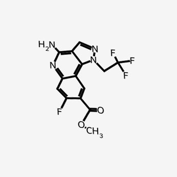 COC(=O)c1cc2c(cc1F)nc(N)c1cnn(CC(F)(F)F)c12